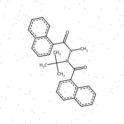 CN(C(=O)c1cccc2ccccc12)N(C(=O)c1cccc2ccccc12)C(C)(C)C